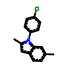 Cc1ccc2cc(C)n(-c3ccc(Cl)cc3)c2c1